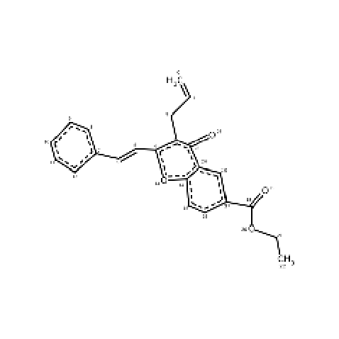 C=CCc1c(/C=C/c2ccccc2)oc2ccc(C(=O)OCC)cc2c1=O